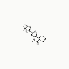 CN1C(=O)C2(CCOCC2)c2ccc(B3OC(C)(C)C(C)(C)O3)cc21